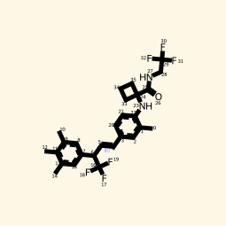 Cc1cc(/C=C/C(c2cc(C)c(C)c(C)c2)C(F)(F)F)ccc1NC1(C(=O)NCC(F)(F)F)CCC1